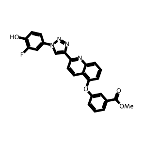 COC(=O)c1cccc(Oc2cccc3nc(-c4cn(-c5ccc(O)c(F)c5)nn4)ccc23)c1